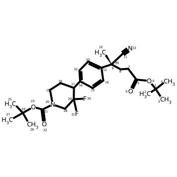 CC(C)(C)OC(=O)CC[C@@](C)(C#N)c1ccc(C2CCN(C(=O)OC(C)(C)C)CC2(F)F)cc1